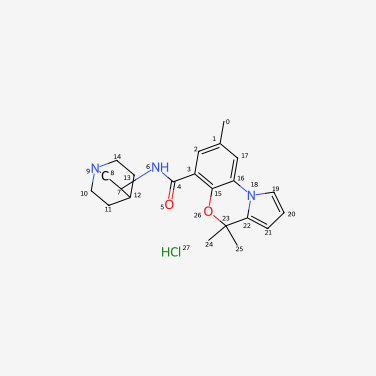 Cc1cc(C(=O)NC2CN3CCC2CC3)c2c(c1)-n1cccc1C(C)(C)O2.Cl